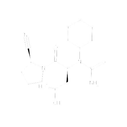 CC(C)C[C@@H](C(=O)N1CCC[C@H]1C#N)N(C(N)=O)C1CCCCC1